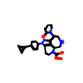 O=C(O)N1CCc2c3c(nn2-c2ccc(C4CC4)cc2)C(n2ccccc2=O)CNCC31